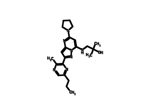 CCCc1cnc(C)c(-c2cc3nc(N4CCCC4)cc(NCC(C)(C)O)n3n2)n1